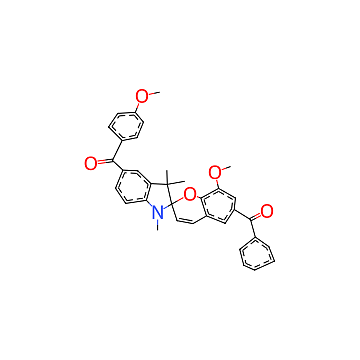 COc1ccc(C(=O)c2ccc3c(c2)C(C)(C)C2(C=Cc4cc(C(=O)c5ccccc5)cc(OC)c4O2)N3C)cc1